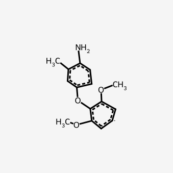 COc1c[c]cc(OC)c1Oc1ccc(N)c(C)c1